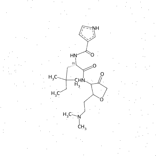 CCC(C)(C)C[C@H](NC(=O)c1cc[nH]c1)C(=O)NC1C(=O)COC1CCN(C)C